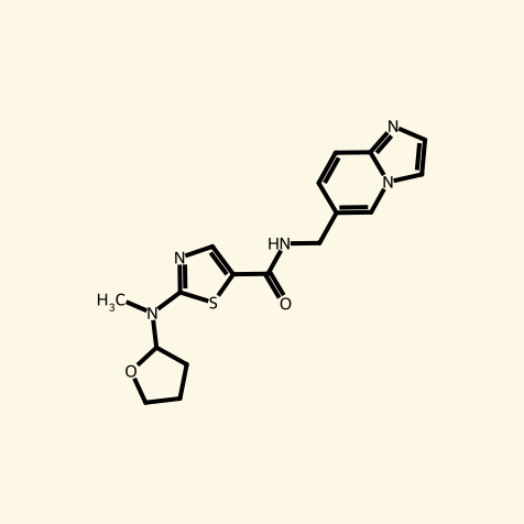 CN(c1ncc(C(=O)NCc2ccc3nccn3c2)s1)C1CCCO1